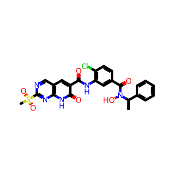 CC(c1ccccc1)N(O)C(=O)c1ccc(Cl)c(NC(=O)c2cc3cnc(S(C)(=O)=O)nc3[nH]c2=O)c1